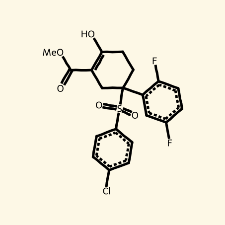 COC(=O)C1=C(O)CCC(c2cc(F)ccc2F)(S(=O)(=O)c2ccc(Cl)cc2)C1